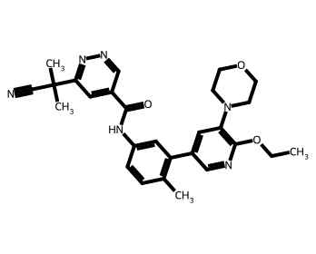 CCOc1ncc(-c2cc(NC(=O)c3cnnc(C(C)(C)C#N)c3)ccc2C)cc1N1CCOCC1